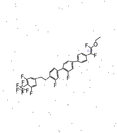 CCO/C(F)=C(\F)c1ccc(-c2ccc(-c3ccc(CCc4cc(F)c(S(F)(F)(F)(F)F)c(F)c4)c(F)c3)c(F)c2)cc1